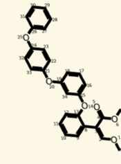 COC=C(C(=O)OC)c1ccccc1Oc1cccc(Oc2ccc(Oc3ccccc3)cc2)c1